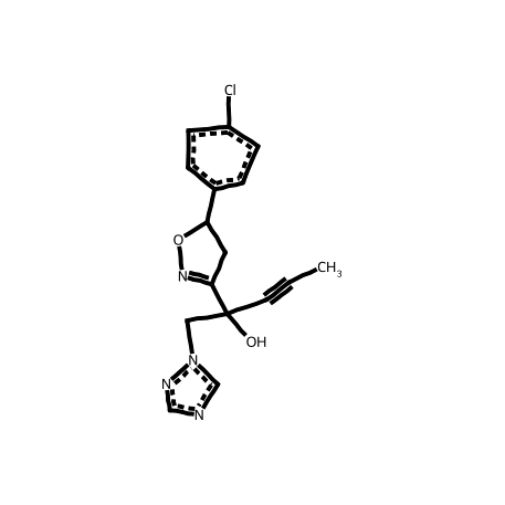 CC#CC(O)(Cn1cncn1)C1=NOC(c2ccc(Cl)cc2)C1